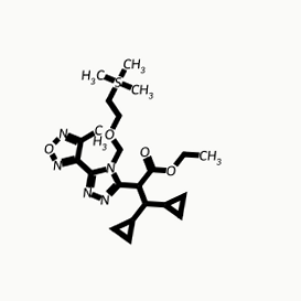 CCOC(=O)C(c1nnc(-c2nonc2C)n1COCCS(C)(C)C)C(C1CC1)C1CC1